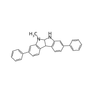 CN1c2cc(-c3ccccc3)ccc2C2c3ccc(-c4ccccc4)cc3NC21